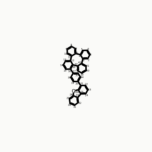 c1ccc2c(c1)-c1ccccc1-c1cccc(-c3ccc(-c4cccc5c4oc4ccccc45)cc3)c1-c1ccccc1-2